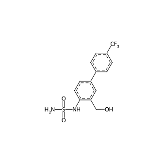 NS(=O)(=O)Nc1ccc(-c2ccc(C(F)(F)F)cc2)cc1CO